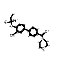 [2H]C([2H])(CC)Oc1ccc(-c2ccc(C(=O)N3CCOCC3)cc2)cc1Cl